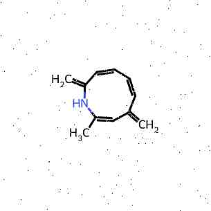 C=c1ccccc(=C)[nH]c(C)c1